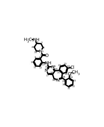 CNC1CCN(C(=O)c2ccccc2Nc2ncc3c(n2)-c2ccc(Cl)cc2C(c2ccccc2OC)=NC3)CC1